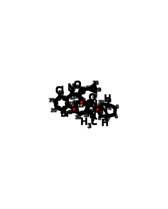 Cn1c(N2[C@@H]3CC[C@H]2C[C@H](OC(=O)Cc2c(-c4c(Cl)cccc4Cl)noc2C2CC2)C3)nc2c(F)cc(Br)cc21